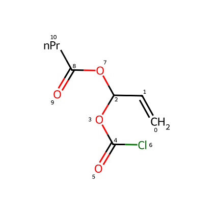 C=CC(OC(=O)Cl)OC(=O)CCC